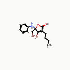 CCCCC1=C(Br)C(CBr)(Nc2ccccc2)OC1=O